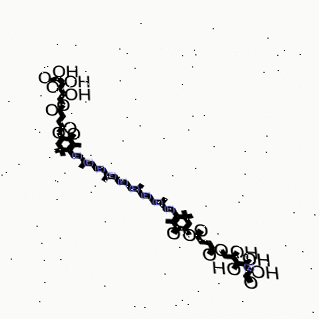 CC1=C(/C=C/C(C)=C/C=C/C(C)=C/C=C/C=C(C)/C=C/C=C(C)/C=C/C2=C(C)C(=O)C(OC(=O)CCC(=O)OCC(O)C(O)/C(O)=C(/O)C=O)CC2(C)C)C(C)(C)CC(OC(=O)CCC(=O)OCC(O)C2OC(=O)C(O)=C2O)C1=O